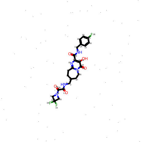 O=C(NCC1CCc2nc(C(=O)NCc3ccc(F)cc3)c(O)c(=O)n2CC1)C(=O)N1CC(F)(F)C1